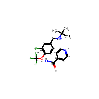 CC(C)(C)NCc1ccc(OC(F)(F)F)c(F)c1.NC(=O)c1ccncc1